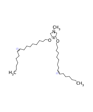 CCCCCC/C=C\CCCCCCCCOC1CN(C)C[C@H]1OCCCCCCCC/C=C\CCCCCC